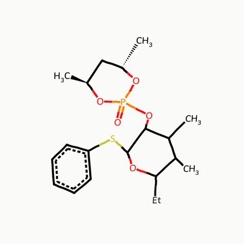 CCC1OC(Sc2ccccc2)C(OP2(=O)O[C@@H](C)C[C@H](C)O2)C(C)C1C